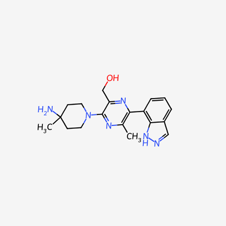 Cc1nc(N2CCC(C)(N)CC2)c(CO)nc1-c1cccc2cn[nH]c12